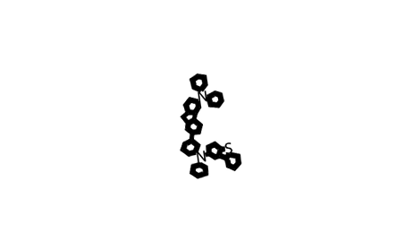 c1ccc(N(c2ccccc2)c2ccc3c(c2)-c2ccc(-c4cccc(N(c5ccccc5)c5ccc6sc7ccccc7c6c5)c4)cc2C3)cc1